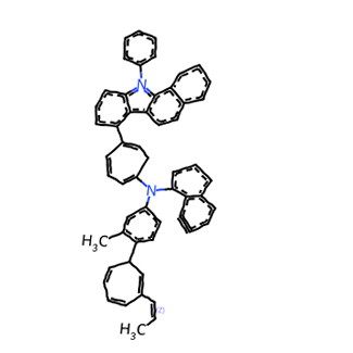 C/C=C\C1=CC(c2ccc(N(C3=CC=CC(c4cccc5c4c4ccc6ccccc6c4n5-c4ccccc4)=CC3)c3cccc4ccc#cc34)cc2C)C=CC=C1